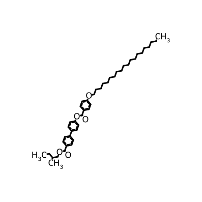 CCCCCCCCCCCCCCCCCCCCOc1ccc(C(=O)Oc2ccc(-c3ccc(C(=O)OCC(C)CC)cc3)cc2)cc1